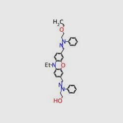 C=COCCN(/N=C/c1ccc2c(c1)Oc1cc(/C=N/N(CCO)c3ccccc3)ccc1N2CC)c1ccccc1